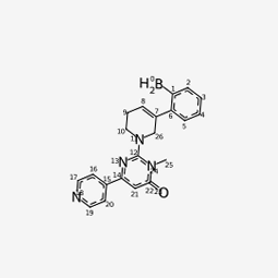 Bc1ccccc1C1=CCCN(c2nc(-c3ccncc3)cc(=O)n2C)C1